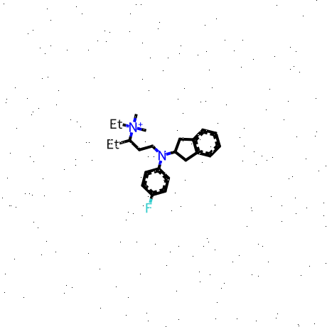 CCC(CCN(c1ccc(F)cc1)C1Cc2ccccc2C1)[N+](C)(C)CC